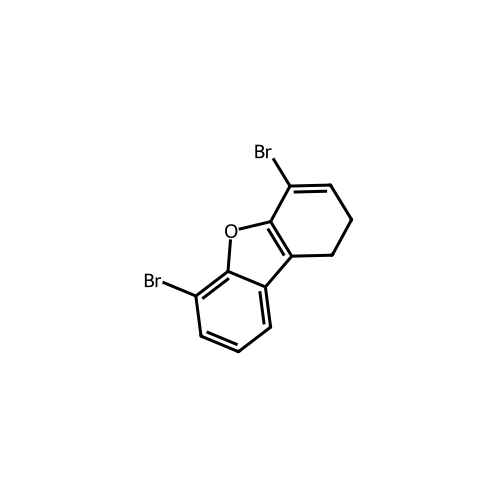 BrC1=CCCc2c1oc1c(Br)cccc21